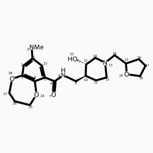 CNc1cc2c(c(C(=O)NC[C@@H]3CCN(CC4CCCO4)C[C@H]3O)c1)OCCCO2